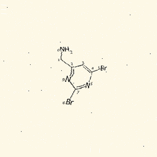 NCc1cc(Br)nc(Br)n1